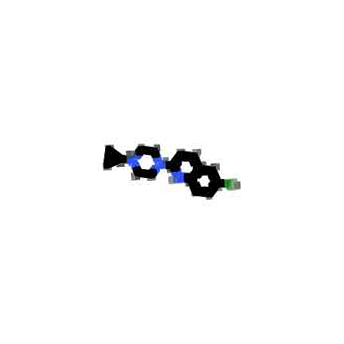 Clc1ccc2nc(N3CCN(C4CC4)CC3)ccc2c1